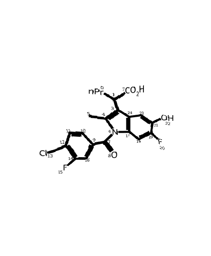 CCCC(C(=O)O)c1c(C)n(C(=O)c2ccc(Cl)c(F)c2)c2cc(F)c(O)cc12